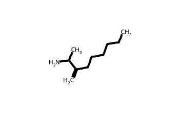 C=C(CCCCCC)C(C)N